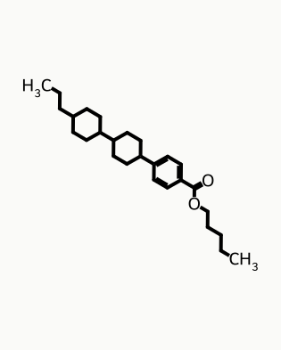 CCCCCOC(=O)c1ccc(C2CCC(C3CCC(CCC)CC3)CC2)cc1